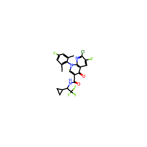 Cc1cc(F)cc(C)c1-n1cc(C(=O)NC(C2CC2)C(F)(F)F)c(=O)c2cc(F)c(Cl)nc21